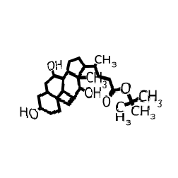 CC(CCC(=O)OC(C)(C)C)C1CCC2C3C(O)CC4CC(O)CCC45C=C(C35)C(O)C12C